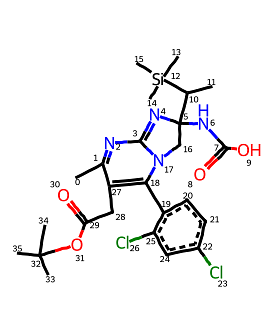 CC1=NC2=NC(NC(=O)O)(C(C)[Si](C)(C)C)CN2C(c2ccc(Cl)cc2Cl)=C1CC(=O)OC(C)(C)C